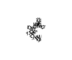 C1=CC2=C(CC1)N(c1cccc(C3=Cc4ccccc4NC3)c1)C1=C(C=CCC1)C1=C2C2C=CCCC2N1c1ccc(C2N=C(c3ccccc3)N=C(c3ccccc3)N2)cc1